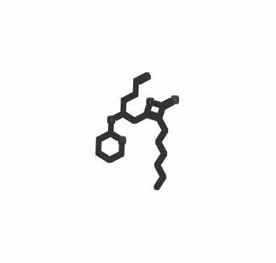 C=CCCC(CC1=C(CCCCCC)C(=O)O1)OC1CCCCO1